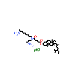 CC[C@H](CC[C@@H](C)[C@H]1CC[C@H]2[C@@H]3CC=C4C[C@@H](OC(=O)CCCC(=O)N(CCCCCCCC(C)N)CCC(C)N)CC[C@]4(C)[C@H]3CC[C@]12C)C(C)C.Cl.Cl